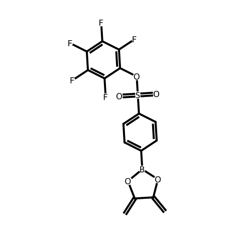 C=C1OB(c2ccc(S(=O)(=O)Oc3c(F)c(F)c(F)c(F)c3F)cc2)OC1=C